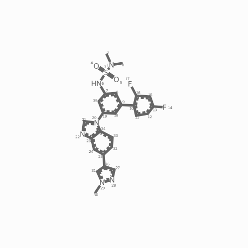 CN(C)S(=O)(=O)Nc1cc(-c2ccc(F)cc2F)cc(-n2cnc3cc(-c4cnn(C)c4)ccc32)c1